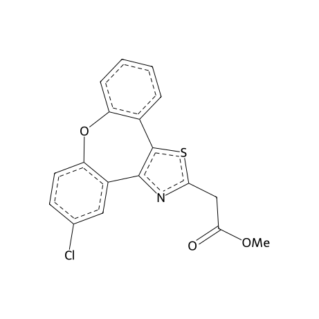 COC(=O)Cc1nc2c(s1)-c1ccccc1Oc1ccc(Cl)cc1-2